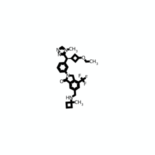 CCOC1CC([C@@H](c2cccc(N3Cc4c(cc(CNC5(C)CCC5)cc4C(F)(F)F)C3=O)c2)c2nncn2C)C1